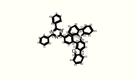 c1ccc(-c2nc(-c3ccccc3)nc(-c3ccc(-c4c(-n5c6ccccc6c6ccccc65)ccc5c4oc4ccccc45)cc3)n2)cc1